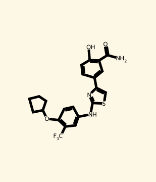 NC(=O)c1cc(-c2csc(Nc3ccc(OC4CCCC4)c(C(F)(F)F)c3)n2)ccc1O